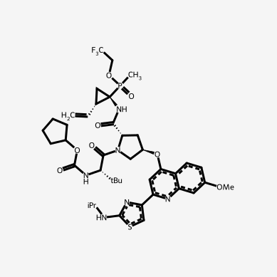 C=C[C@@H]1C[C@]1(NC(=O)[C@@H]1C[C@@H](Oc2cc(-c3csc(NC(C)C)n3)nc3cc(OC)ccc23)CN1C(=O)[C@@H](NC(=O)OC1CCCC1)C(C)(C)C)P(C)(=O)OCC(F)(F)F